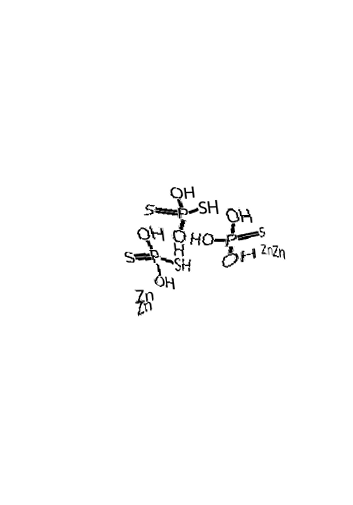 OP(O)(=S)S.OP(O)(=S)S.OP(O)(O)=S.[Zn].[Zn].[Zn].[Zn]